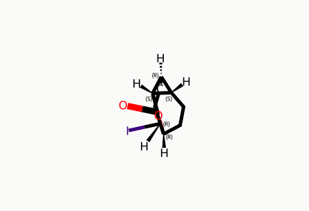 O=C1O[C@@H]2CC[C@H]3[C@@H](CC[C@H]2I)[C@@H]13